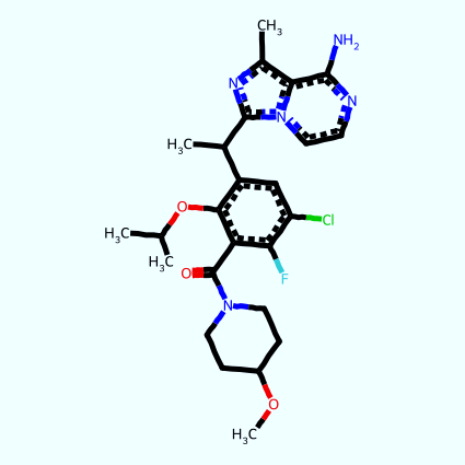 COC1CCN(C(=O)c2c(F)c(Cl)cc(C(C)c3nc(C)c4c(N)nccn34)c2OC(C)C)CC1